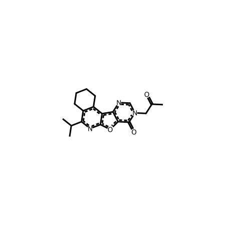 CC(=O)Cn1cnc2c(oc3nc(C(C)C)c4c(c32)CCCC4)c1=O